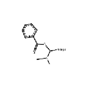 CCCCCCCC(OC(=O)c1ccccc1)N(C)C